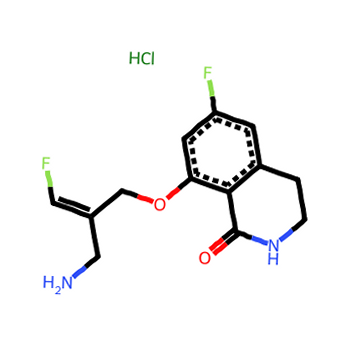 Cl.NC/C(=C/F)COc1cc(F)cc2c1C(=O)NCC2